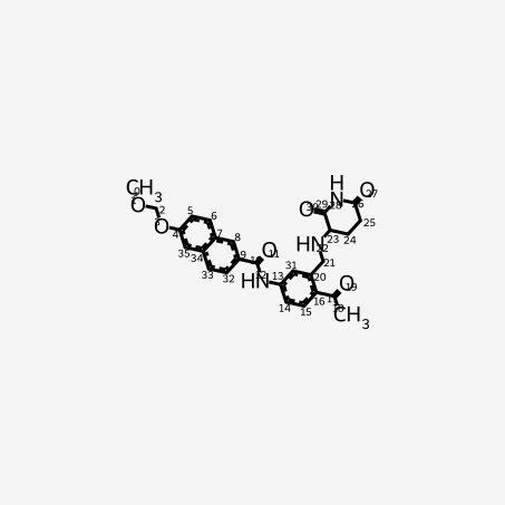 COCOc1ccc2cc(C(=O)Nc3ccc(C(C)=O)c(CNC4CCC(=O)NC4=O)c3)ccc2c1